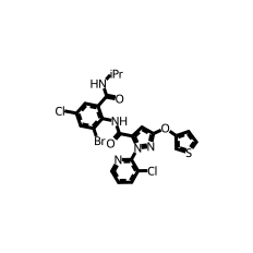 CC(C)NC(=O)c1cc(Cl)cc(Br)c1NC(=O)c1cc(Oc2ccsc2)nn1-c1ncccc1Cl